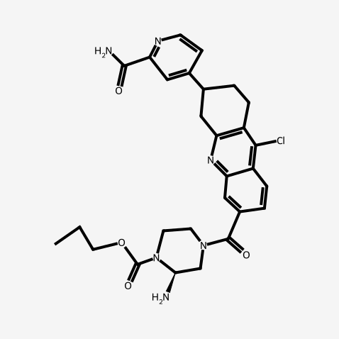 CCCOC(=O)N1CCN(C(=O)c2ccc3c(Cl)c4c(nc3c2)CC(c2ccnc(C(N)=O)c2)CC4)C[C@H]1N